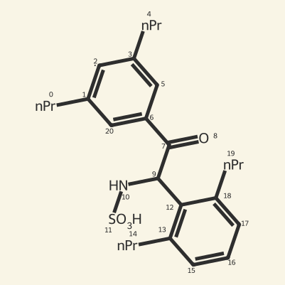 CCCc1[c]c(CCC)cc(C(=O)C(NS(=O)(=O)O)c2c(CCC)cccc2CCC)c1